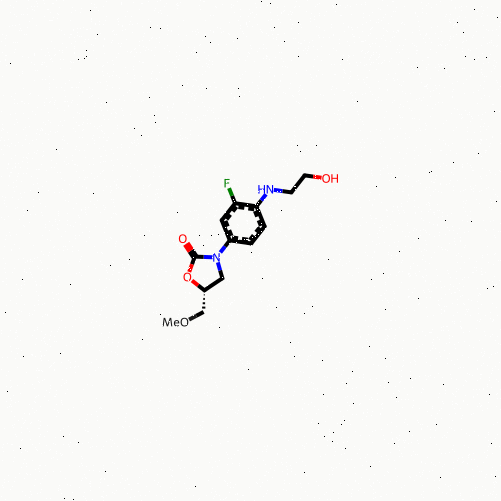 COC[C@H]1CN(c2ccc(NCCO)c(F)c2)C(=O)O1